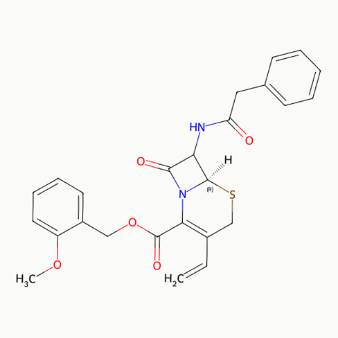 C=CC1=C(C(=O)OCc2ccccc2OC)N2C(=O)C(NC(=O)Cc3ccccc3)[C@H]2SC1